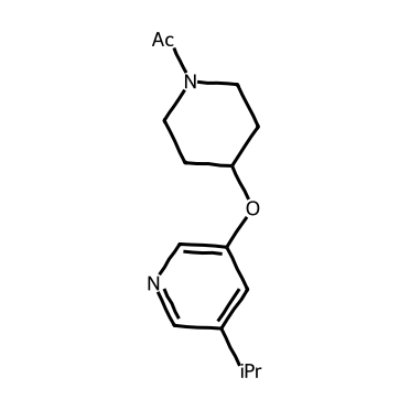 CC(=O)N1CCC(Oc2cncc(C(C)C)c2)CC1